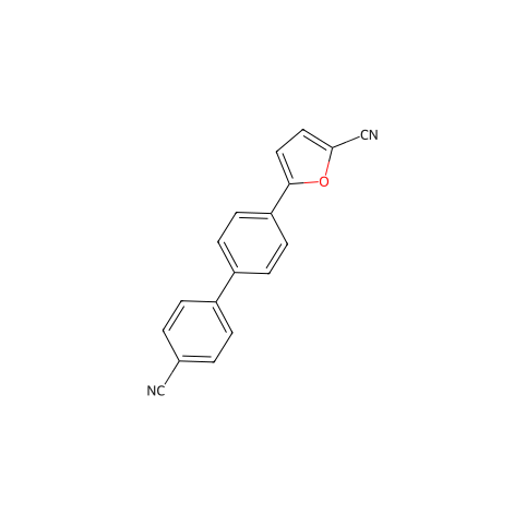 N#Cc1ccc(-c2ccc(-c3ccc(C#N)o3)cc2)cc1